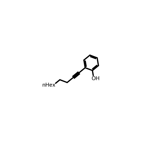 CCCCCCCCC#Cc1ccccc1O